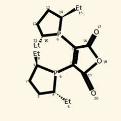 CC[C@@H]1CC[C@@H](CC)P1C1=C(P2[C@H](CC)CC[C@H]2CC)C(=O)OC1=O